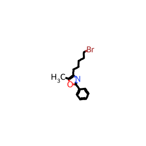 Cc1oc(-c2ccccc2)nc1CCCCCBr